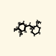 CCCC1CCCCN1Cc1ccc(F)c(F)c1